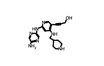 Nc1cnc(Nc2cc(NCC3CCNCC3)c(C#CCO)cn2)cn1